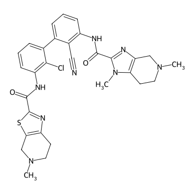 CN1CCc2c(nc(C(=O)Nc3cccc(-c4cccc(NC(=O)c5nc6c(s5)CN(C)CC6)c4Cl)c3C#N)n2C)C1